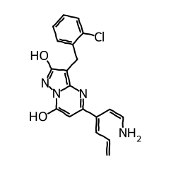 C=C/C=C(\C=C/N)c1cc(O)n2nc(O)c(Cc3ccccc3Cl)c2n1